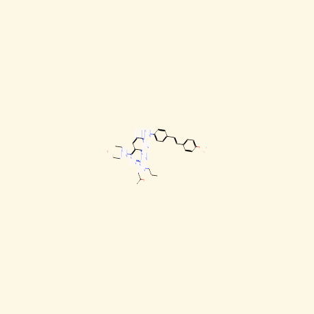 COc1ccc(C=Cc2ccc(Nc3ccc4c(N5CCOCC5)nc(N5CC(C)OC(C)C5)nc4n3)cc2)cc1